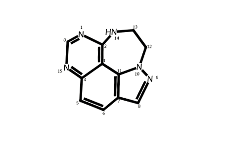 c1nc2c3c(ccc4cnn(c43)CCN2)n1